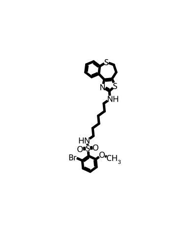 COc1cccc(Br)c1S(=O)(=O)NCCCCCCNc1nc2c(s1)CCSc1ccccc1-2